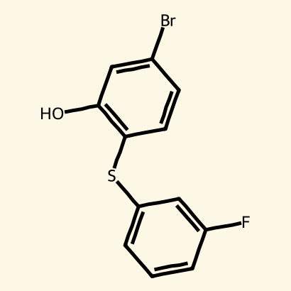 Oc1cc(Br)ccc1Sc1cccc(F)c1